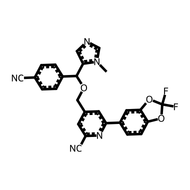 Cn1cncc1C(OCc1cc(C#N)nc(-c2ccc3c(c2)OC(F)(F)O3)c1)c1ccc(C#N)cc1